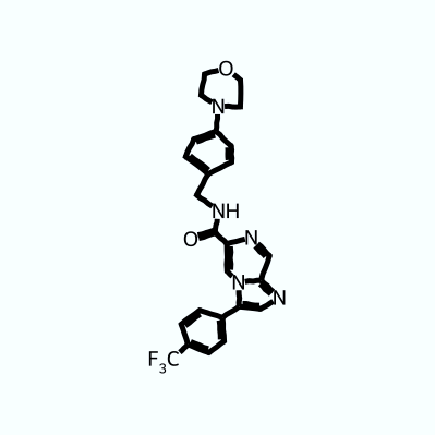 O=C(NCc1ccc(N2CCOCC2)cc1)c1cn2c(-c3ccc(C(F)(F)F)cc3)cnc2cn1